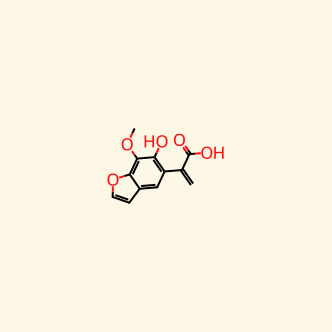 C=C(C(=O)O)c1cc2ccoc2c(OC)c1O